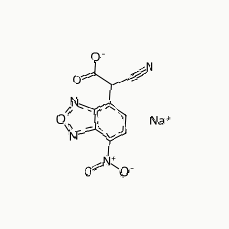 N#CC(C(=O)[O-])c1ccc([N+](=O)[O-])c2nonc12.[Na+]